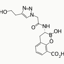 O=C(Cn1cc(CCO)nn1)N[C@H]1Cc2cccc(C(=O)O)c2OB1O